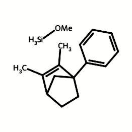 CC1=C(C)C2(c3ccccc3)CCC1C2.CO[SiH3]